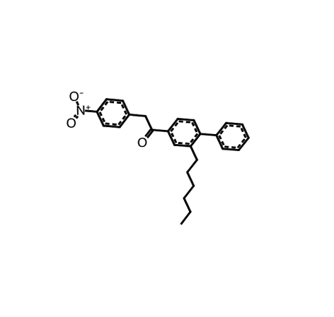 CCCCCCc1cc(C(=O)Cc2ccc([N+](=O)[O-])cc2)ccc1-c1ccccc1